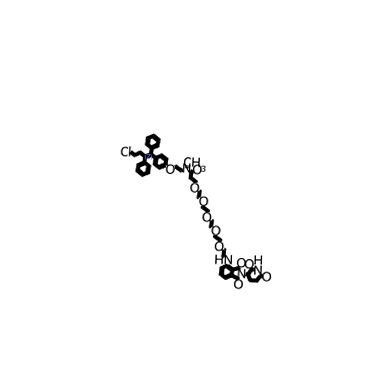 CN(CCOc1ccc(/C(=C(/CCCl)c2ccccc2)c2ccccc2)cc1)C(=O)CCOCCOCCOCCOCCOCCNc1cccc2c1C(=O)N(C1CCC(=O)NC1=O)C2=O